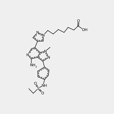 CCS(=O)(=O)Nc1ccc(-c2nn(C)c3c(-c4cnn(CCCCCCC(=O)O)c4)cnc(N)c23)cc1